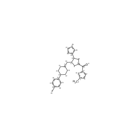 Cc1ccc(C(=O)N2CC(CN3CCC(c4ccc(F)cc4)CC3)C(c3ccsc3)C2)s1